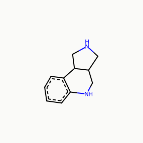 c1ccc2c(c1)NCC1CNCC21